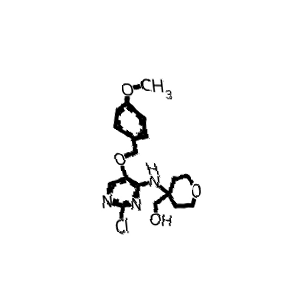 COc1ccc(COc2cnc(Cl)nc2NC2(CO)CCOCC2)cc1